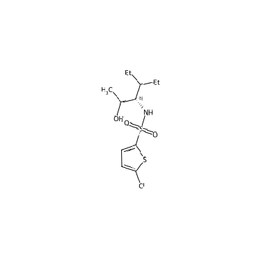 CCC(CC)[C@H](NS(=O)(=O)c1ccc(Cl)s1)C(C)O